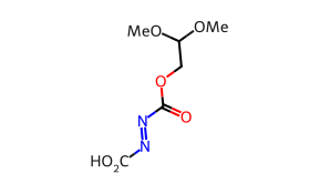 COC(COC(=O)N=NC(=O)O)OC